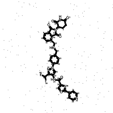 O=C1CCC(N2C(=O)c3cccc(CNCc4ccc(-n5cc(NC(=O)c6coc(-c7ccncc7)n6)c(C(F)F)n5)cc4)c3C2=O)C(=O)N1